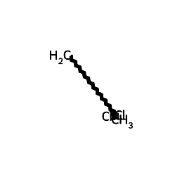 C=CCCCCCCCCCCCCCCCCCCCC[Si](C)(Cl)Cl